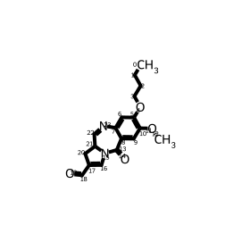 CCCCOc1cc2c(cc1OC)C(=O)N1C=C(C=O)CC1C=N2